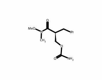 CON(C)C(=O)[C@H](COC(N)=O)CC(C)C